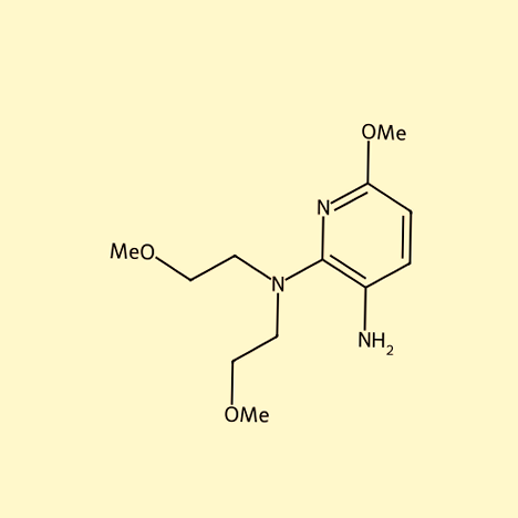 COCCN(CCOC)c1nc(OC)ccc1N